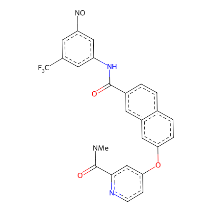 CNC(=O)c1cc(Oc2ccc3ccc(C(=O)Nc4cc(N=O)cc(C(F)(F)F)c4)cc3c2)ccn1